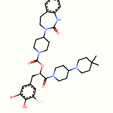 Bc1cc(C[C@@H](OC(=O)N2CCC(N3CCc4ccccc4NC3=O)CC2)C(=O)N2CCC(N3CCC(C)(C)CC3)CC2)cc(Br)c1O